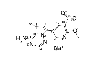 COc1ncc(-c2cc(C)c3c(N)ncnn23)cc1C(=O)[O-].[Na+]